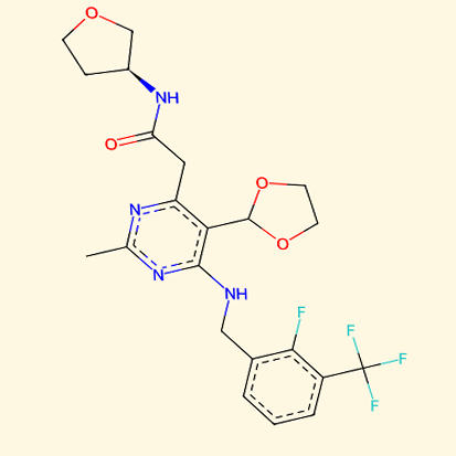 Cc1nc(CC(=O)N[C@H]2CCOC2)c(C2OCCO2)c(NCc2cccc(C(F)(F)F)c2F)n1